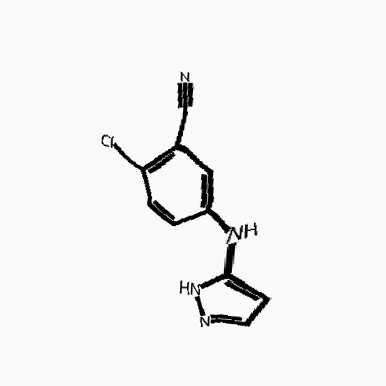 N#Cc1cc(Nc2ccn[nH]2)ccc1Cl